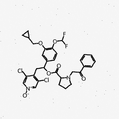 O=C(CN1CCCC1C(=O)OC(Cc1c(Cl)c[n+]([O-])cc1Cl)c1ccc(OC(F)F)c(OCC2CC2)c1)c1ccccc1